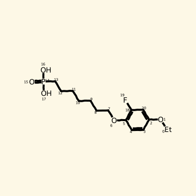 CCOc1ccc(OCCCCCCCP(=O)(O)O)c(F)c1